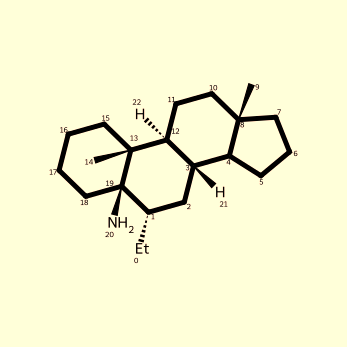 CC[C@H]1C[C@H]2C3CCC[C@@]3(C)CC[C@@H]2[C@@]2(C)CCCC[C@@]12N